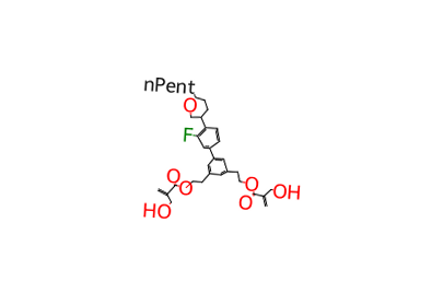 C=C(CO)C(=O)OCCc1cc(CCOC(=O)C(=C)CO)cc(-c2ccc(C3CCC(CCCCC)OC3)c(F)c2)c1